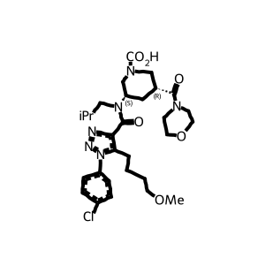 COCCCCc1c(C(=O)N(CC(C)C)[C@H]2C[C@@H](C(=O)N3CCOCC3)CN(C(=O)O)C2)nnn1-c1ccc(Cl)cc1